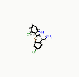 NCCc1ccc(Cl)cc1Sc1c[nH]c2cccc(Cl)c12